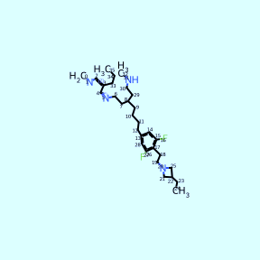 C=N/C=C(\C=N/CCC(CCCCc1cc(F)c(CCN2CC(CC)C2)c(F)c1)CCNC)CCC